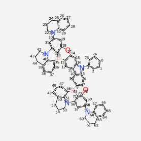 c1ccc(-n2c3cc4c(cc3c3cc5c(cc32)Oc2cc(N3CCCc6ccccc63)cc3c2B5c2cccc5c2N3CCC5)B2c3cccc5c3N(CCC5)c3cc(N5CCCc6ccccc65)cc(c32)O4)cc1